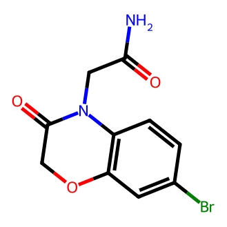 NC(=O)CN1C(=O)COc2cc(Br)ccc21